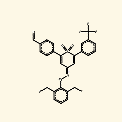 O=Cc1ccc(C2=C/C(=N\Nc3c(CF)cccc3CF)C=C(c3cccc(C(F)(F)F)c3)S2(=O)=O)cc1